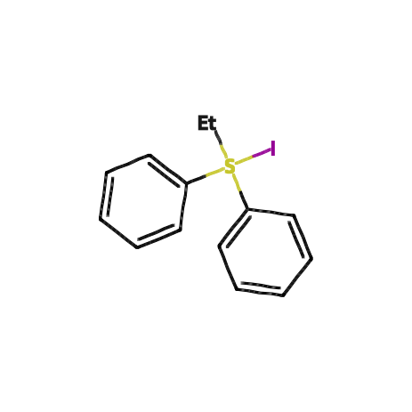 CCS(I)(c1ccccc1)c1ccccc1